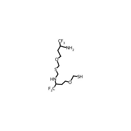 NC(CCOCSCNC(CCOCS)C(F)(F)F)C(F)(F)F